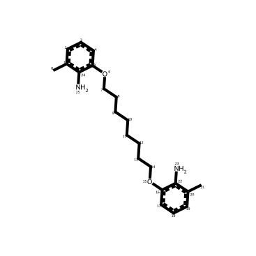 Cc1cccc(OCCCCCCCCOc2cccc(C)c2N)c1N